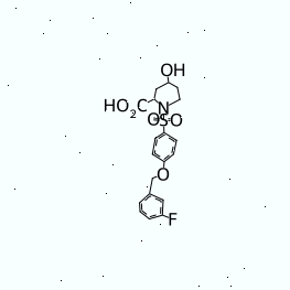 O=C(O)C1CC(O)CCN1S(=O)(=O)c1ccc(OCc2cccc(F)c2)cc1